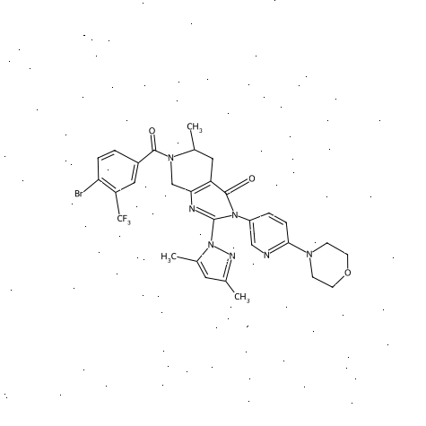 Cc1cc(C)n(-c2nc3c(c(=O)n2-c2ccc(N4CCOCC4)nc2)CC(C)N(C(=O)c2ccc(Br)c(C(F)(F)F)c2)C3)n1